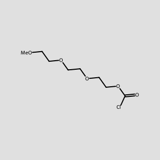 COCCOCCOCCOC(=O)Cl